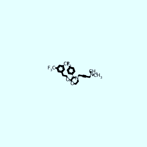 CN(C)CC#CCN1CCO[C@@H](OCCc2cc(C(F)(F)F)cc(C(F)(F)F)c2)[C@@H]1c1ccc(F)cc1